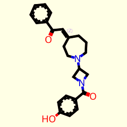 O=C(/C=C1/CCCN(C2CN(C(=O)c3ccc(O)cc3)C2)CC1)c1ccccc1